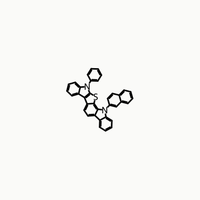 c1ccc(-n2c3ccccc3c3c4ccc5c6ccccc6n(-c6ccc7ccccc7c6)c5c4sc32)cc1